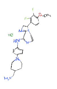 COc1ccc(-c2cnc3c(Nc4ccc(N5CCC(CN)CC5)cc4)nccn23)c(F)c1F.Cl